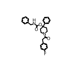 O=C(NCc1ccccc1)OC1(c2ccccc2)CCN(C(=O)Cc2ccc(F)cc2)CC1